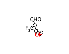 O=C/C=C/c1ccc(-c2ccc(O)c(C34CC5CC(CC(C5)C3)C4)c2)c(C(F)(F)F)c1